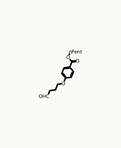 CCCCCOC(=O)c1ccc(OCCCC=O)cc1